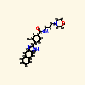 Cc1cc(C(=O)NCCCN2CCOCC2)ccc1-c1nc2cc3ccccc3cc2[nH]1